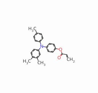 C=CC(=O)Oc1ccc(N(c2ccc(C)cc2)c2ccc(C)c(C)c2)cc1